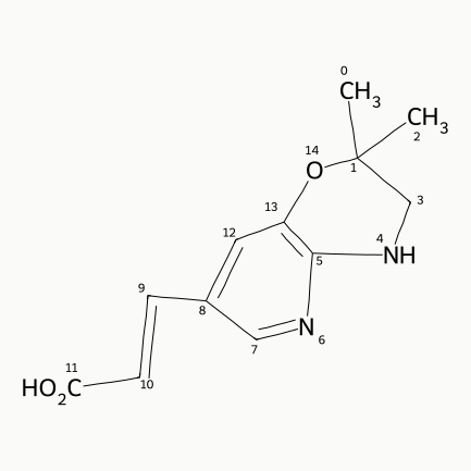 CC1(C)CNc2ncc(/C=C/C(=O)O)cc2O1